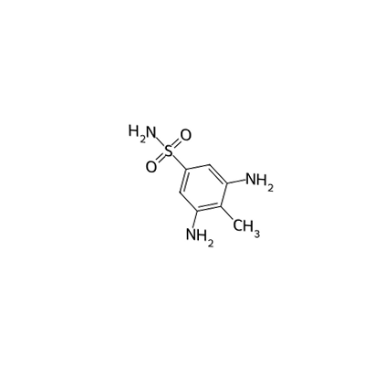 Cc1c(N)cc(S(N)(=O)=O)cc1N